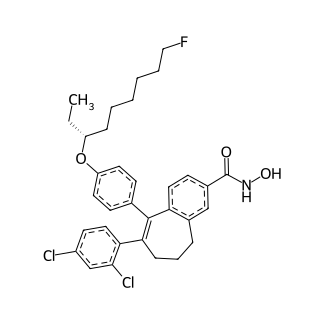 CC[C@H](CCCCCCF)Oc1ccc(C2=C(c3ccc(Cl)cc3Cl)CCCc3cc(C(=O)NO)ccc32)cc1